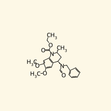 CCOC(=O)N1c2cc(OC)c(OC)cc2[C@H](N(C=O)Cc2ccccc2)C[C@@H]1C